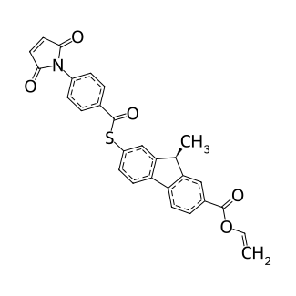 C=COC(=O)c1ccc2c(c1)[C@H](C)c1cc(SC(=O)c3ccc(N4C(=O)C=CC4=O)cc3)ccc1-2